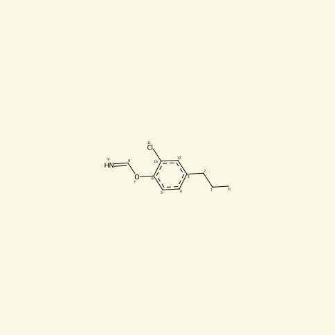 CCCc1ccc(OC=N)c(Cl)c1